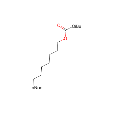 CCCCCCCCCCCCCCCCOC(=O)OCC(C)C